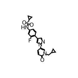 O=c1ccc(-n2cc(-c3ccc(NS(=O)(=O)C4CC4)cc3F)cn2)cn1CC1CC1